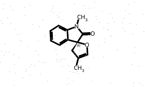 CC1=CO[C@@]2(C1)C(=O)N(C)c1ccccc12